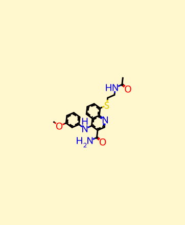 COc1cccc(Nc2c(C(N)=O)cnc3c(SCCNC(C)=O)cccc23)c1